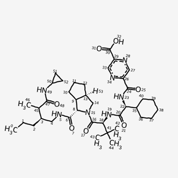 CCC[C@H](CNC(=O)[C@@H]1C2CCC[C@H]2CN1C(=O)[C@@H](NC(=O)[C@@H](NC(=O)c1cnc(C(=O)O)cn1)C1CCCCC1)C(C)(C)C)C(C)C(=O)NC1CC1